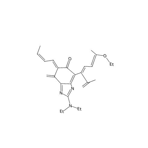 C=C(C)/C(=C\C=C(/C)OCC)C1=C2N=C(N(CC)CC)N=C2C(=C)/C(=C\C=C/C)C1=O